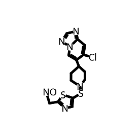 O=NCc1ncc(SN2CCC(c3cn4ncnc4cc3Cl)CC2)s1